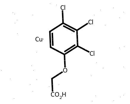 O=C(O)COc1ccc(Cl)c(Cl)c1Cl.[Cu]